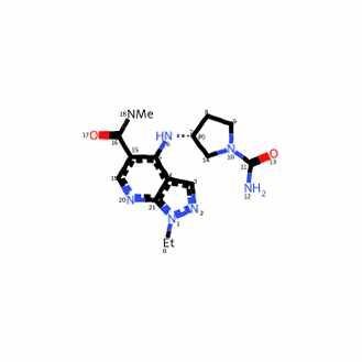 CCn1ncc2c(N[C@@H]3CCN(C(N)=O)C3)c(C(=O)NC)cnc21